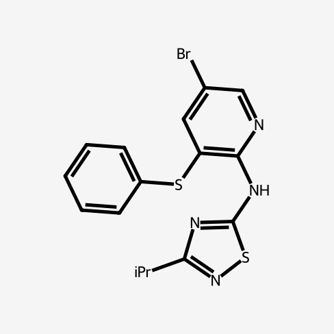 CC(C)c1nsc(Nc2ncc(Br)cc2Sc2ccccc2)n1